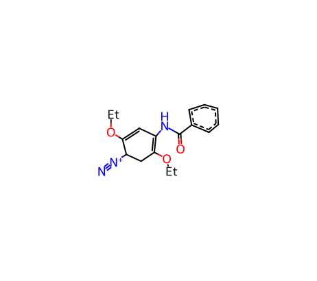 CCOC1=CC(NC(=O)c2ccccc2)=C(OCC)CC1[N+]#N